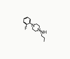 CCCNN1CCN(c2ccccc2F)CC1